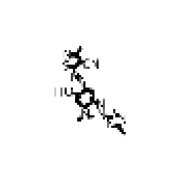 Cc1nsc(/N=N/c2cc(/N=N/c3snc(C)c3C#N)c(O)cc2N(C)C)n1